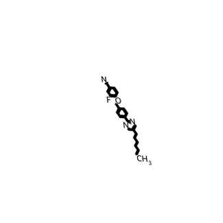 CCCCCCCc1cnc(-c2ccc(COc3ccc(C#N)cc3F)cc2)nc1